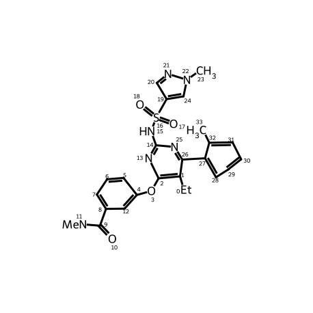 CCc1c(Oc2cccc(C(=O)NC)c2)nc(NS(=O)(=O)c2cnn(C)c2)nc1-c1ccccc1C